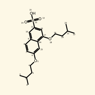 CC(C)CCOc1ccc2cc(S(=O)(=O)O)cc(OCCC(C)C)c2c1